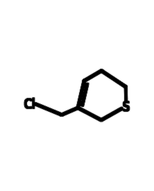 ClCC1=CCCSC1